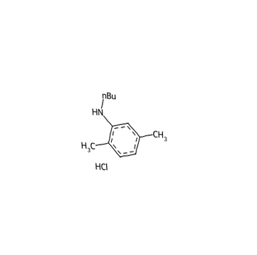 CCCCNc1cc(C)ccc1C.Cl